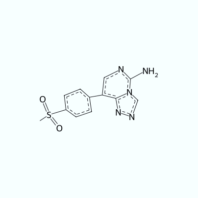 CS(=O)(=O)c1ccc(-c2cnc(N)n3cnnc23)cc1